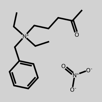 CC[N+](CC)(CCCC(C)=O)Cc1ccccc1.O=[N+]([O-])[O-]